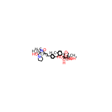 Cc1ccc([C@]23OC[C@](C(C)(C)O)(O2)[C@@H](O)[C@H](O)[C@H]3O)cc1Cc1ccc(CCCC(=O)N(C)C(C)(C)C(O)N2CCCCC2)cc1